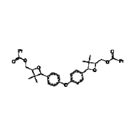 CC(C)C(=O)OCC1OC(c2ccc(Oc3ccc(C4OC(COC(=O)C(C)C)C4(C)C)cc3)cc2)C1(C)C